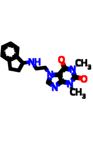 Cn1c(=O)c2c(ncn2CCNC2CCc3ccccc32)n(C)c1=O